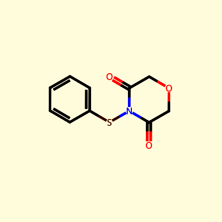 O=C1COCC(=O)N1Sc1ccccc1